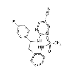 CS(=O)(=O)Nc1ccccc1CC(Nc1ncc(C#N)cn1)c1ccc(F)cc1